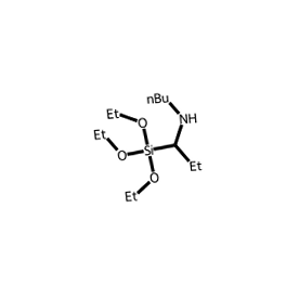 CCCCNC(CC)[Si](OCC)(OCC)OCC